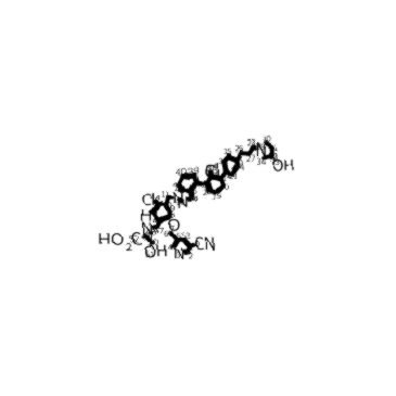 N#Cc1cncc(COc2cc(Cn3ncc4c(-c5cccc(-c6ccc(CCCN7CC[C@@H](O)C7)cc6)c5Cl)cccc43)c(Cl)cc2CN[C@@H](CO)C(=O)O)c1